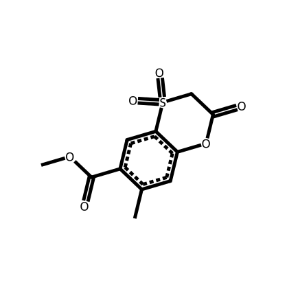 COC(=O)c1cc2c(cc1C)OC(=O)CS2(=O)=O